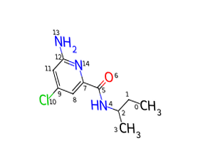 CCC(C)NC(=O)c1cc(Cl)cc(N)n1